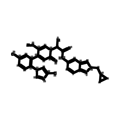 CCC(C(=O)Nc1ccc2nn(CC3CC3)cc2c1)n1cc(OC)c(-c2cc(Cl)ccc2-n2cc(Cl)nn2)cc1=O